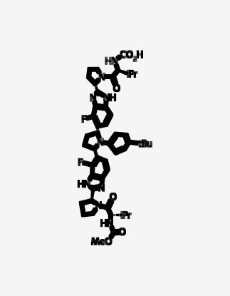 COC(=O)N[C@H](C(=O)N1CCC[C@H]1c1nc2ccc([C@H]3CC[C@H](c4ccc5[nH]c([C@@H]6CCCN6C(=O)[C@@H](NC(=O)O)C(C)C)nc5c4F)N3c3ccc(C(C)(C)C)cc3)c(F)c2[nH]1)C(C)C